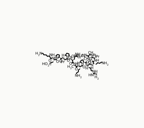 CC(C)[C@H](NC(=O)[C@H](CCCCN)NC(=O)[C@H](CCCNC(=N)N)NC(=O)[C@@H]1CCCN1C(=O)[C@H](CCCCN)NC(=O)[C@H](C)NC(=O)[C@H](CCC(N)=O)NC(=O)[C@@H]1CCCN1C(=O)[C@@H](NC(=O)[C@@H]1CCCN1C(=O)[C@H](CCC(=O)O)NC(=O)[C@@H](N)CCCCN)C(C)C)C(=O)N[C@@H](C)C(=O)N[C@@H](C)C(=O)O